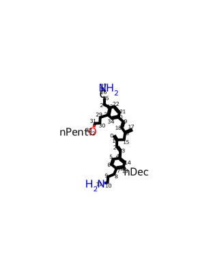 C=C(/C=C/c1ccc(CCCN)c(CCCCCCCCCC)c1)CC(=C)/C=C/c1ccc(CCCN)c(CCCOCCCCC)c1